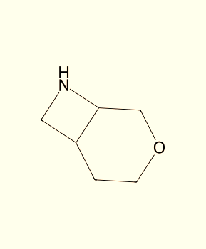 C1CC2CNC2CO1